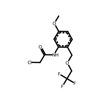 COc1ccc(COCC(F)(F)F)c(NC(=O)CCl)c1